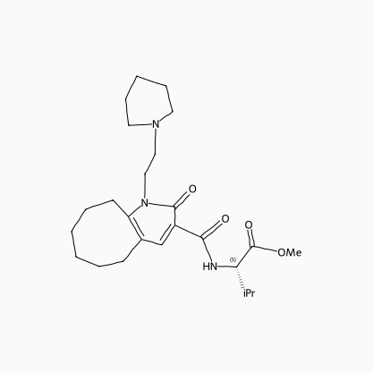 COC(=O)[C@@H](NC(=O)c1cc2c(n(CCN3CCCCC3)c1=O)CCCCCC2)C(C)C